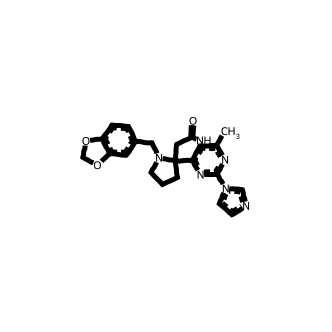 Cc1cc(C2(CC(N)=O)CCCN2Cc2ccc3c(c2)OCO3)nc(-n2ccnc2)n1